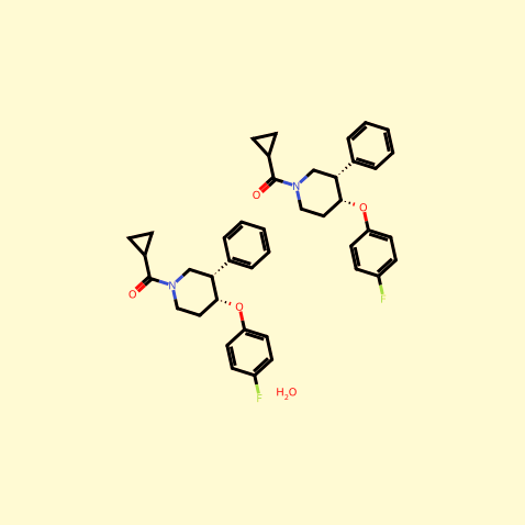 O.O=C(C1CC1)N1CC[C@@H](Oc2ccc(F)cc2)[C@@H](c2ccccc2)C1.O=C(C1CC1)N1CC[C@@H](Oc2ccc(F)cc2)[C@@H](c2ccccc2)C1